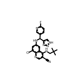 CC(C)(C)CNc1c(C#N)cnc2c(Cl)cc(NC(c3ccc(F)nc3)c3c[nH]nn3)cc12